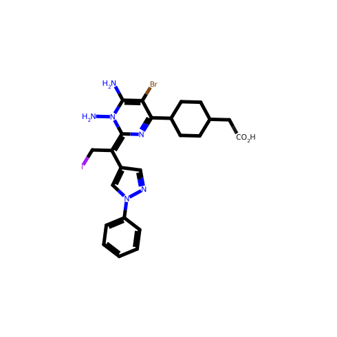 NC1=C(Br)C(C2CCC(CC(=O)O)CC2)=N/C(=C(/CI)c2cnn(-c3ccccc3)c2)N1N